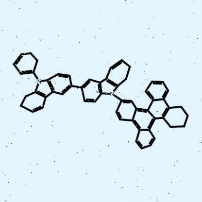 C1=CCCC(n2c3c(c4cc(-c5ccc6c(c5)c5c(n6-c6ccc7c8ccccc8c8c9c(c%10ccccc%10c8c7c6)CCCC9)CCC=C5)ccc42)C=CCC3)=C1